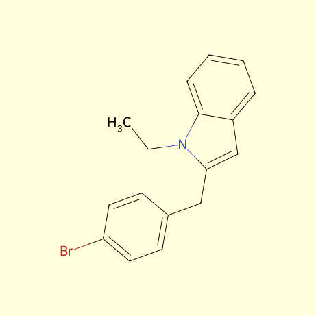 CCn1c(Cc2ccc(Br)cc2)cc2ccccc21